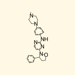 CN1CCN(c2ccc(Nc3nccc(N4OCCC4c4ccccc4)n3)cc2)CC1